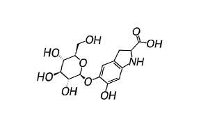 O=C(O)C1Cc2cc(O[C@@H]3O[C@H](CO)[C@@H](O)[C@H](O)[C@H]3O)c(O)cc2N1